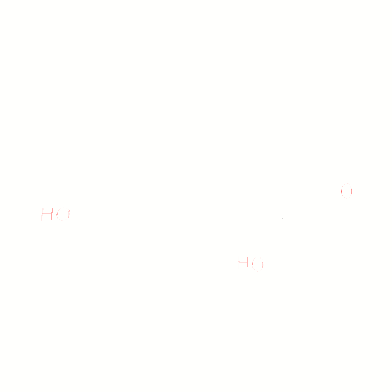 OCc1cccc(C2(O)COC2)c1